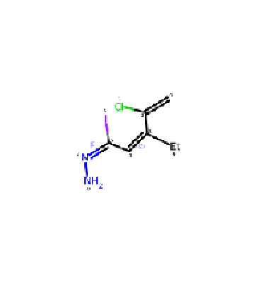 C=C(Cl)/C(=C\C(I)=N/N)CC